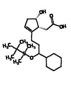 CC(C)(C)[Si](C)(C)OC(CCC1=CC[C@H](O)[C@@H]1CC(=O)O)C1CCCCC1